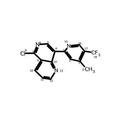 Cc1cc(-c2cnc(Cl)c3cccnc23)ncc1C(F)(F)F